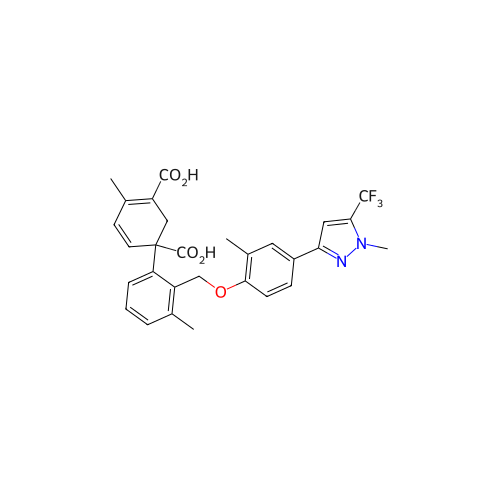 CC1=C(C(=O)O)CC(C(=O)O)(c2cccc(C)c2COc2ccc(-c3cc(C(F)(F)F)n(C)n3)cc2C)C=C1